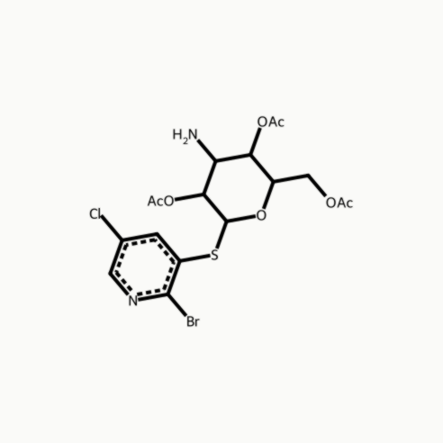 CC(=O)OCC1OC(Sc2cc(Cl)cnc2Br)C(OC(C)=O)C(N)C1OC(C)=O